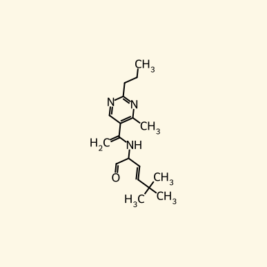 C=C(NC(C=O)/C=C/C(C)(C)C)c1cnc(CCC)nc1C